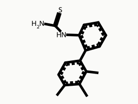 Cc1ccc(-c2ccccc2NC(N)=S)c(C)c1C